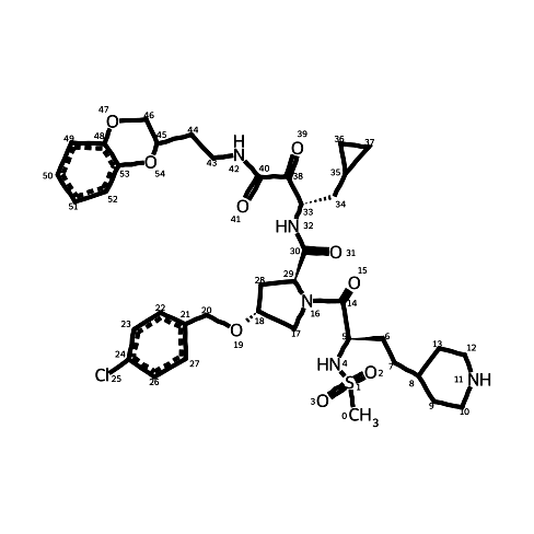 CS(=O)(=O)N[C@H](CCC1CCNCC1)C(=O)N1C[C@H](OCc2ccc(Cl)cc2)C[C@H]1C(=O)N[C@@H](CC1CC1)C(=O)C(=O)NCCC1COc2ccccc2O1